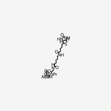 CCCC(CNC(=O)CCCCCNC(=O)CCCCC1SC[C@@H]2NC(=O)N[C@H]12)OP(=O)(OOC(C)=O)OOC(C)=O